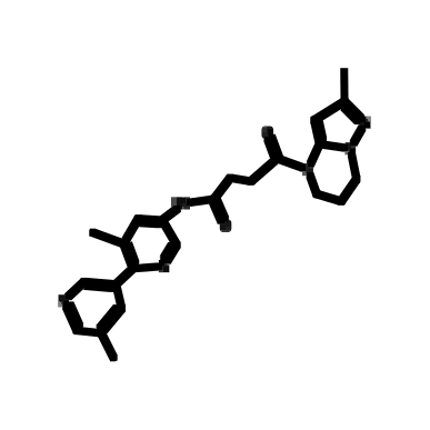 Cc1cncc(-c2ncc(NC(=O)CCC(=O)N3CCCn4nc(C)cc43)cc2C)c1